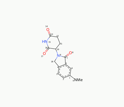 CNc1ccc2c(c1)C(=O)N(C1CCC(=O)NC1=O)C2